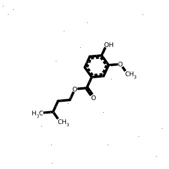 COc1cc(C(=O)OCCC(C)C)ccc1O